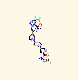 CNC(=O)c1ccc(N2CCC(N3CC[C@@H](c4cn5cnc(C(F)(F)F)c5c(=O)[nH]4)C3)CC2)cn1